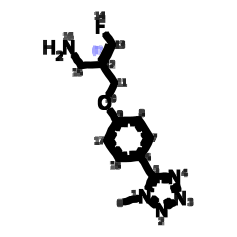 Cn1nnnc1-c1ccc(OC/C(=C/F)CN)cc1